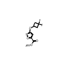 COC(=O)c1cc(OC2CC(F)(F)C2)no1